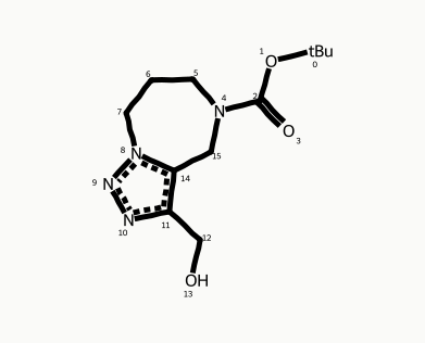 CC(C)(C)OC(=O)N1CCCn2nnc(CO)c2C1